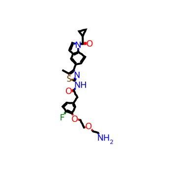 Cc1sc(NC(=O)Cc2ccc(F)c(OCCOCCN)c2)nc1-c1ccc2c(ccn2C(=O)C2CC2)c1